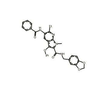 CCc1nc2c(cc1NC(=O)c1ccccc1)c(OC(C)C)c(C(=O)NCc1ccc3c(c1)OCO3)n2C